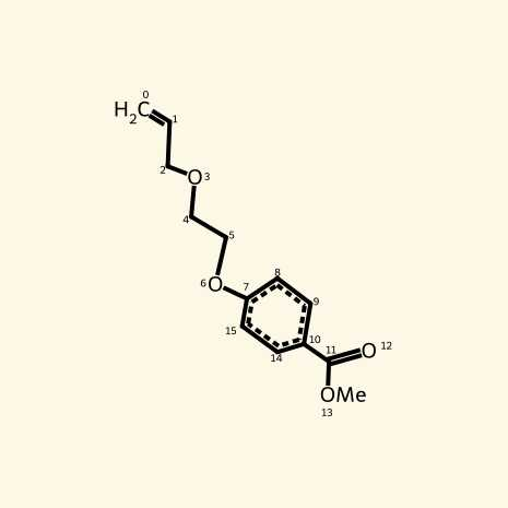 C=CCOCCOc1ccc(C(=O)OC)cc1